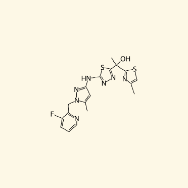 Cc1csc(C(C)(O)c2nnc(Nc3cc(C)n(Cc4ncccc4F)n3)s2)n1